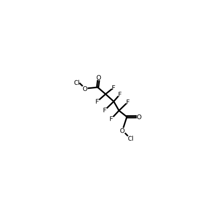 O=C(OCl)C(F)(F)C(F)(F)C(F)(F)C(=O)OCl